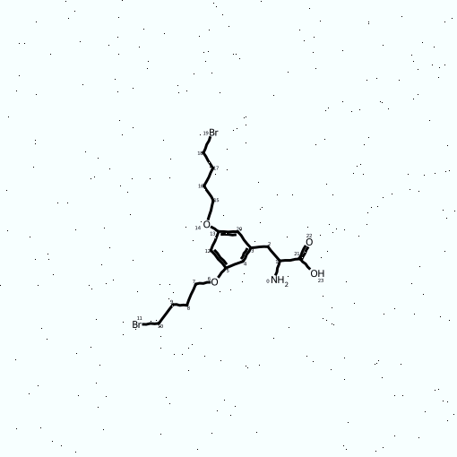 NC(Cc1cc(OCCCCBr)cc(OCCCCBr)c1)C(=O)O